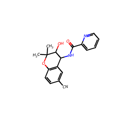 CC1(C)Oc2ccc(C#N)cc2C(NC(=O)c2ccccn2)C1O